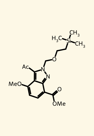 COC(=O)c1ccc(OC)c2c(C(C)=O)n(COCC[Si](C)(C)C)nc12